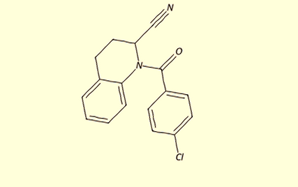 N#CC1CCc2ccccc2N1C(=O)c1ccc(Cl)cc1